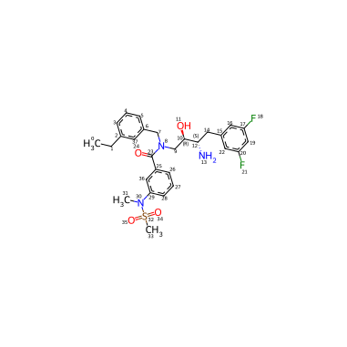 CCc1cccc(CN(C[C@@H](O)[C@@H](N)Cc2cc(F)cc(F)c2)C(=O)c2cccc(N(C)S(C)(=O)=O)c2)c1